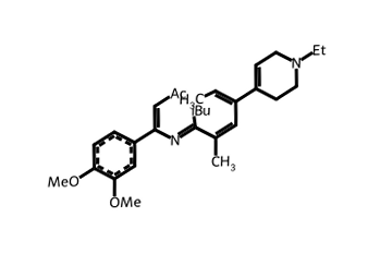 C\C=C(/C=C(C)\C(=N\C(=C/C(C)=O)c1ccc(OC)c(OC)c1)C(C)CC)C1=CCN(CC)CC1